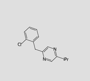 CC(C)c1cnc(Cc2ccccc2Cl)cn1